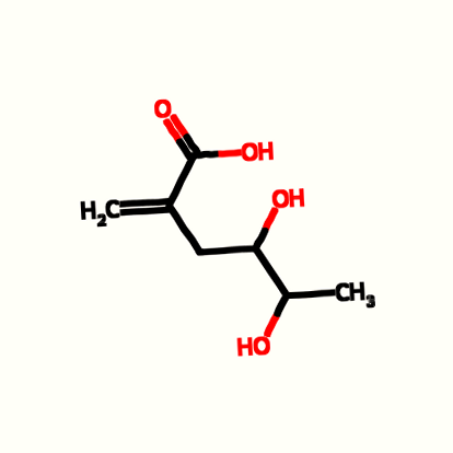 C=C(CC(O)C(C)O)C(=O)O